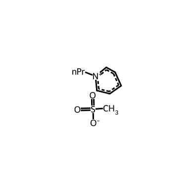 CCC[n+]1ccccc1.CS(=O)(=O)[O-]